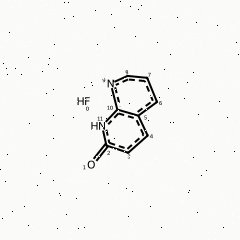 F.O=c1ccc2cccnc2[nH]1